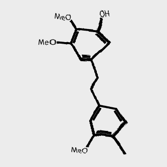 COc1cc(CCc2cc(O)c(OC)c(OC)c2)ccc1C